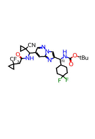 CC(C)(C)OC(=O)N[C@H](c1cn2ncc(C(NC(=O)CC3(C(F)(F)F)CC3)C3(C#N)CC3)cc2n1)C1CCC(F)(F)CC1